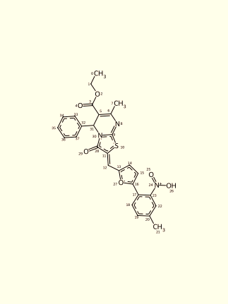 CCOC(=O)C1=C(C)N=c2s/c(=C\c3ccc(-c4ccc(C)cc4[N+](=O)O)o3)c(=O)n2C1c1ccccc1